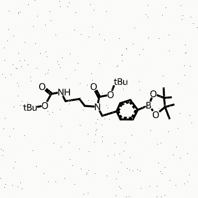 CC(C)(C)OC(=O)NCCCN(Cc1ccc(B2OC(C)(C)C(C)(C)O2)cc1)C(=O)OC(C)(C)C